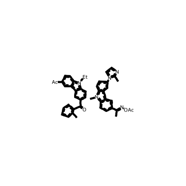 CC(=O)ON=C(C)c1ccc2c(c1)c1cc(-n3ccnc3C)ccc1n2C.CCn1c2ccc(C(C)=O)cc2c2cc(C(=O)c3ccccc3C)ccc21